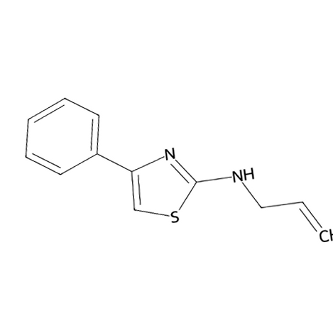 C=CCNc1nc(-c2ccccc2)cs1